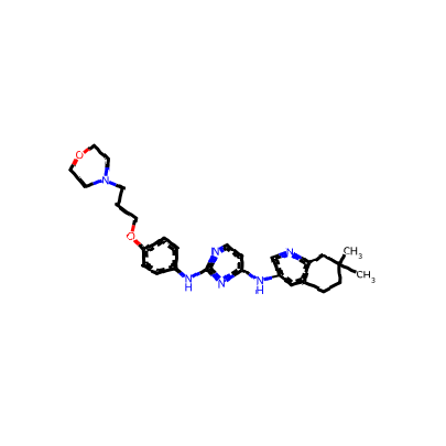 CC1(C)CCc2cc(Nc3ccnc(Nc4ccc(OCCCN5CCOCC5)cc4)n3)cnc2C1